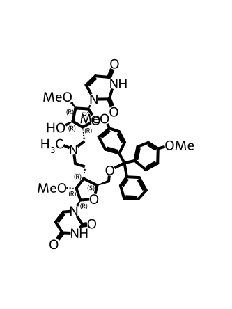 COc1ccc(C(OC[C@H]2O[C@@H](n3ccc(=O)[nH]c3=O)[C@H](OC)[C@@H]2CCN(C)C[C@H]2O[C@@H](n3ccc(=O)[nH]c3=O)[C@H](OC)[C@@H]2O)(c2ccccc2)c2ccc(OC)cc2)cc1